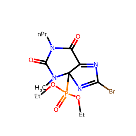 CCCN1C(=O)C2=NC(Br)=NC2(P(=O)(OCC)OCC)N(C)C1=O